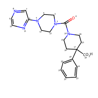 O=C(N1CCN(c2cnccn2)CC1)N1CCC(C(=O)O)(c2ccccc2)CC1